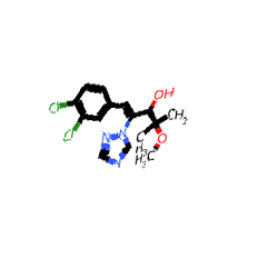 COC(C)(C)C(O)C(=Cc1ccc(Cl)c(Cl)c1)n1cncn1